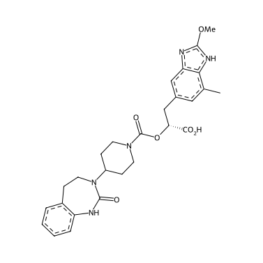 COc1nc2cc(C[C@@H](OC(=O)N3CCC(N4CCc5ccccc5NC4=O)CC3)C(=O)O)cc(C)c2[nH]1